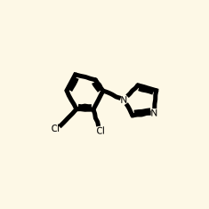 Clc1cccc(-n2ccnc2)c1Cl